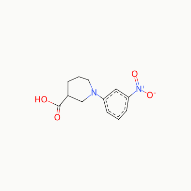 O=C(O)C1CCCN(c2cccc([N+](=O)[O-])c2)C1